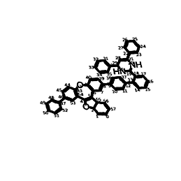 C1=CC2OC3=C(c4cc(-c5ccc(-c6ccccc6C6NC(c7ccccc7)=CC(c7ccccc7)N6)cc5)ccc4Oc4ccc(-c5ccccc5)cc43)C2C=C1